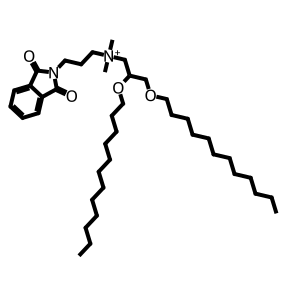 CCCCCCCCCCCCOCC(C[N+](C)(C)CCCN1C(=O)c2ccccc2C1=O)OCCCCCCCCCCCC